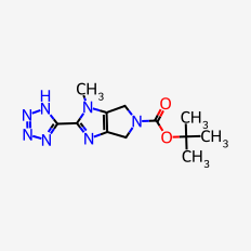 Cn1c(-c2nnn[nH]2)nc2c1CN(C(=O)OC(C)(C)C)C2